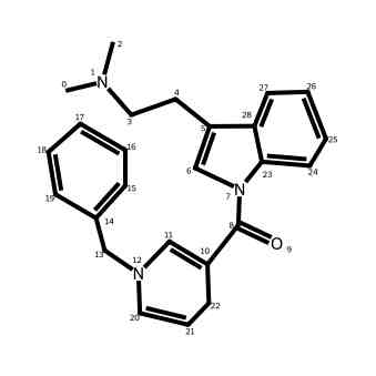 CN(C)CCc1cn(C(=O)C2=CN(Cc3ccccc3)C=CC2)c2ccccc12